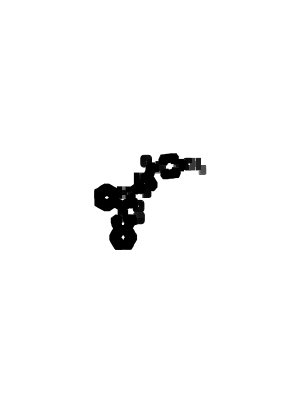 CN1CCN(C(=O)c2csc(NC(=O)C(c3ccccc3)N3Cc4ccccc4C3=O)n2)CC1